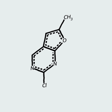 Cc1cc2cnc(Cl)nc2o1